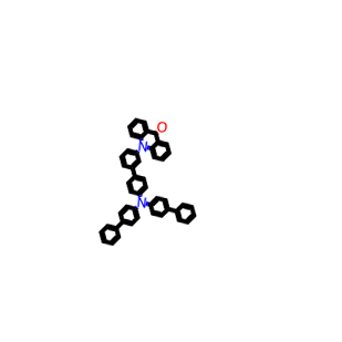 O=c1c2ccccc2n(-c2cccc(-c3ccc(N(c4ccc(-c5ccccc5)cc4)c4ccc(-c5ccccc5)cc4)cc3)c2)c2ccccc12